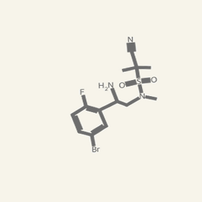 CN(CC(N)c1cc(Br)ccc1F)S(=O)(=O)C(C)(C)C#N